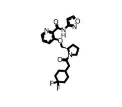 O=C(Nc1ccon1)c1ncccc1OC[C@H]1CCCN1C(=O)CC1CCC(F)(F)CC1